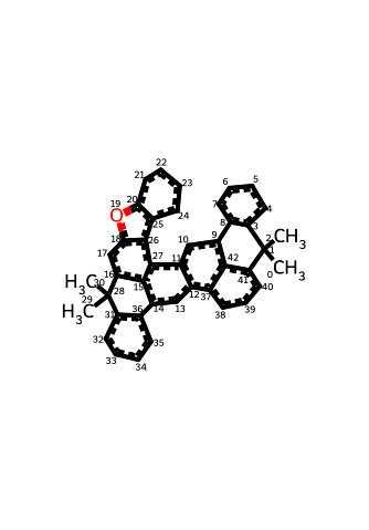 CC1(C)c2ccccc2-c2cc3c(cc4c5c(cc6oc7ccccc7c6c53)C(C)(C)c3ccccc3-4)c3cccc1c23